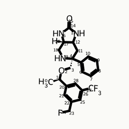 C[C@@H](OC[C@@]1(c2ccccc2)CC2NC(=O)N[C@H]2CN1)c1cc(CF)cc(C(F)(F)F)c1